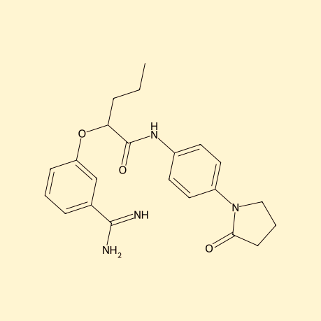 CCCC(Oc1cccc(C(=N)N)c1)C(=O)Nc1ccc(N2CCCC2=O)cc1